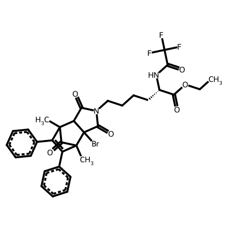 CCOC(=O)[C@H](CCCCN1C(=O)C2C3(C)C(=O)C(C)(C(c4ccccc4)=C3c3ccccc3)C2(Br)C1=O)NC(=O)C(F)(F)F